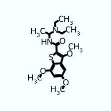 CCN(CC)C(C)NC(=O)c1sc2c(OC)cc(OC)cc2c1OC